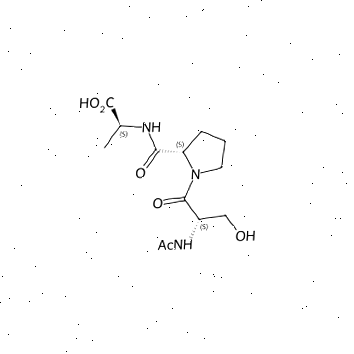 CC(=O)N[C@@H](CO)C(=O)N1CCC[C@H]1C(=O)N[C@@H](C)C(=O)O